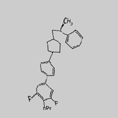 CCCc1c(F)cc(-c2ccc(C3CCC(C[C@@H](C)c4ccccc4)CC3)cc2)cc1F